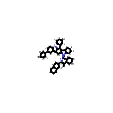 Cc1c(-c2ccc3ccccc3c2)nc(-n2c3ccccc3c3c4c5ccccc5n5c6ccc(-c7ccccc7)cc6c(cc32)c45)c2ccccc12